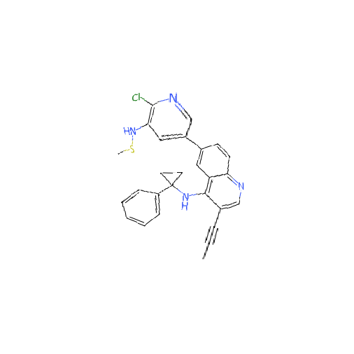 CC#Cc1cnc2ccc(-c3cnc(Cl)c(NSC)c3)cc2c1NC1(c2ccccc2)CC1